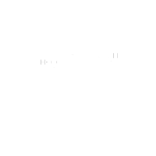 C=C(CC(=O)O)C(=O)O.C=Cc1cccc2ccccc12